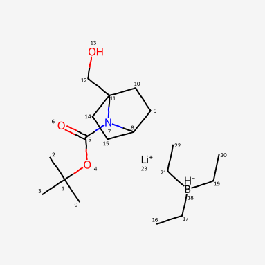 CC(C)(C)OC(=O)N1C2CCC1(CO)CC2.CC[BH-](CC)CC.[Li+]